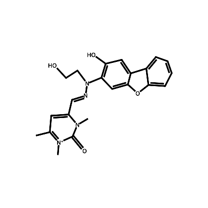 Cc1cc(C=NN(CCO)c2cc3oc4ccccc4c3cc2O)n(C)c(=O)[n+]1C